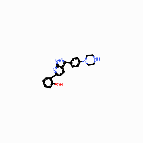 Oc1ccccc1-c1ccc2c(-c3ccc(N4CCNCC4)cc3)n[nH]c2n1